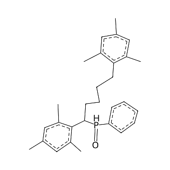 Cc1cc(C)c(CCCCC(c2c(C)cc(C)cc2C)[PH](=O)c2ccccc2)c(C)c1